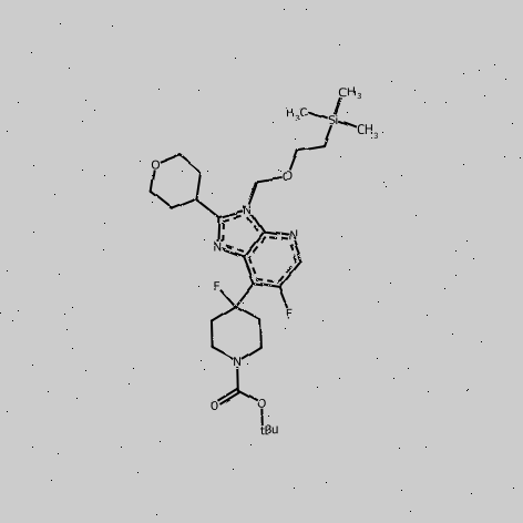 CC(C)(C)OC(=O)N1CCC(F)(c2c(F)cnc3c2nc(C2CCOCC2)n3COCC[Si](C)(C)C)CC1